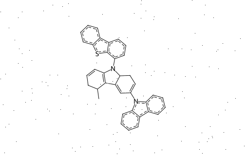 CC1CC=CC2=C1C1=CC(n3c4ccccc4c4ccccc43)=CCC1N2c1cccc2c1sc1ccccc12